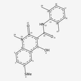 CSc1ccc2c(c1)c(O)c(C(=O)Nc1c(C)cccc1C)c(=O)n2C